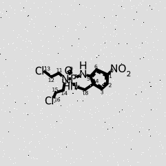 O=[N+]([O-])c1ccc2c(c1)NP(=O)(N(CCCl)CCCl)NC2